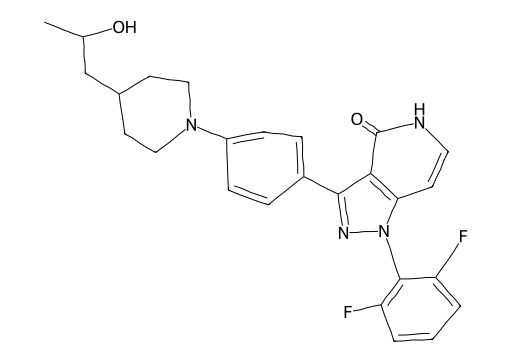 CC(O)CC1CCN(c2ccc(-c3nn(-c4c(F)cccc4F)c4cc[nH]c(=O)c34)cc2)CC1